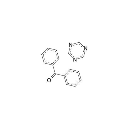 O=C(c1ccccc1)c1ccccc1.c1ncncn1